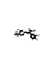 C[C@@H]1CN(C/C=C(\C(=O)O)c2ccc(Cl)c(Cl)c2)CCN1S(C)(=O)=O